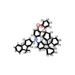 CC1(C)c2ccccc2-c2ccc(N(c3ccc4c(c3)Oc3ccccc3O4)c3ccc4c(c3)C(c3ccccc3)(c3ccccc3)c3ccccc3-4)cc21